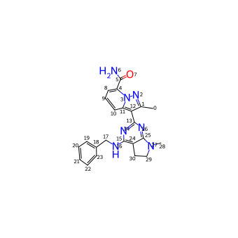 Cc1nn2c(C(N)=O)cccc2c1-c1nc(NCc2ccccc2)c2c(n1)N(C)CC2